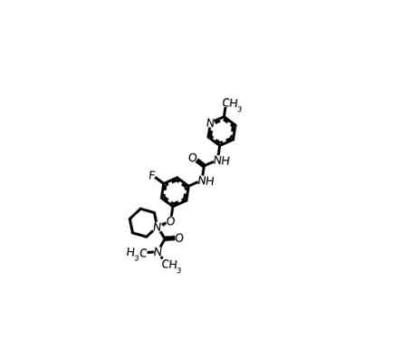 Cc1ccc(NC(=O)Nc2cc(F)cc(O[N+]3(C(=O)N(C)C)CCCCC3)c2)cn1